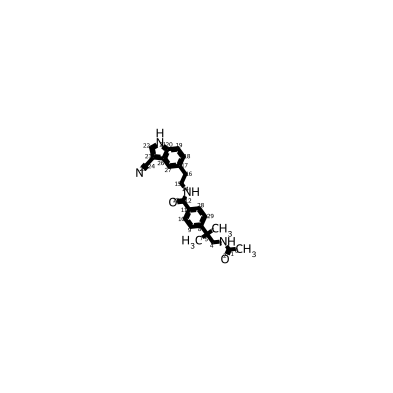 CC(=O)NCC(C)(C)c1ccc(C(=O)NCCc2ccc3[nH]cc(C#N)c3c2)cc1